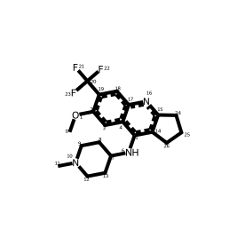 COc1cc2c(NC3CCN(C)CC3)c3c(nc2cc1C(F)(F)F)CCC3